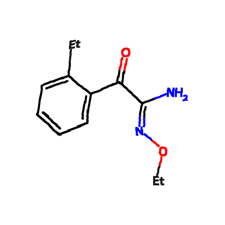 CCON=C(N)C(=O)c1ccccc1CC